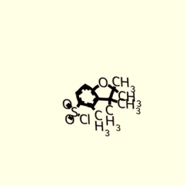 Cc1c(S(=O)(=O)Cl)ccc2c1C(C)(C)C(C)(C)O2